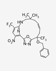 CC1(C)CC=CCC(OCc2ccccc2)(C(F)(F)F)c2nnc(o2)-c2nc(c(C(F)(F)F)cc2[N+](=O)[O-])NC1